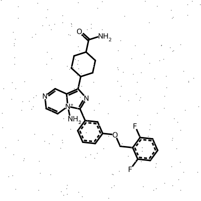 NC(=O)C1CCC(C2=C3C=NC=C[N+]3(N)C(c3cccc(OCc4c(F)cccc4F)c3)=N2)CC1